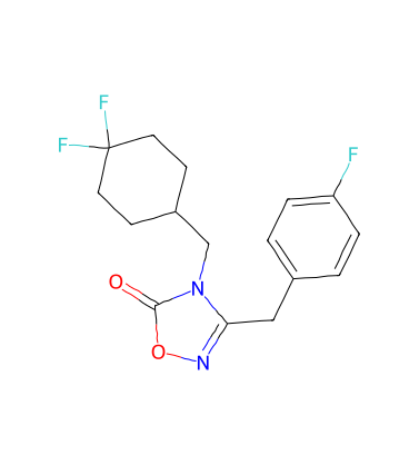 O=c1onc(Cc2ccc(F)cc2)n1CC1CCC(F)(F)CC1